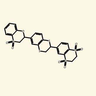 O=S1(=O)CC(c2ccc3c(c2)SCC(c2ccc4c(c2)S(=O)(=O)CCS4(=O)=O)S3)Oc2ccccc21